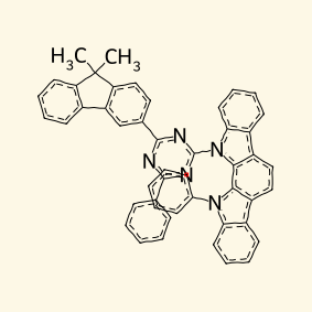 CC1(C)c2ccccc2-c2cc(-c3nc(-c4ccccc4)nc(-n4c5ccccc5c5ccc6c7ccccc7n(-c7ccccc7)c6c54)n3)ccc21